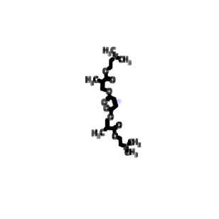 CC(=COC(=O)/C=C\C(=O)OC=C(C)C(=O)OCCN(C)C)C(=O)OCCN(C)C